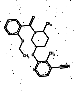 CCOc1ccccc1C(=O)N1CC(Oc2nccc(C#N)c2C)CCC1C